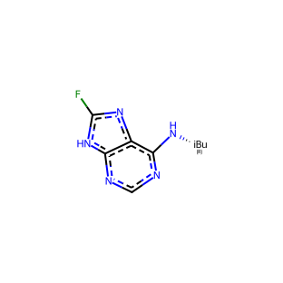 CC[C@@H](C)Nc1ncnc2[nH]c(F)nc12